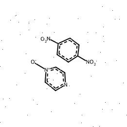 O=[N+]([O-])c1ccc([N+](=O)[O-])cc1.[O-][n+]1ccncc1